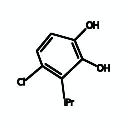 CC(C)c1c(Cl)ccc(O)c1O